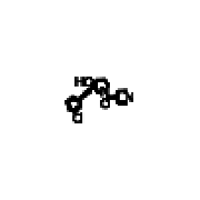 O=C(c1ccncc1)N1CCCC(O)(C#Cc2cccc(Cl)c2)C1